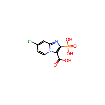 O=C(O)c1c(P(=O)(O)O)nc2cc(Cl)ccn12